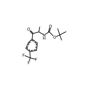 CC(NC(=O)OC(C)(C)C)C(=O)c1ccc(C(F)(F)F)cc1